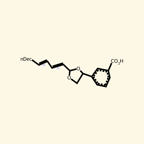 CCCCCCCCCC/C=C/C=C/C1OCC(c2cccc(C(=O)O)c2)O1